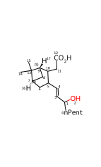 CCCCCC(O)C=CC1C[C@@H]2C[C@@H](C1CC(=O)O)C2(C)C